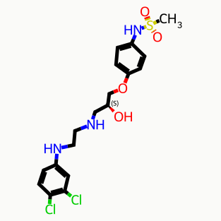 CS(=O)(=O)Nc1ccc(OC[C@@H](O)CNCCNc2ccc(Cl)c(Cl)c2)cc1